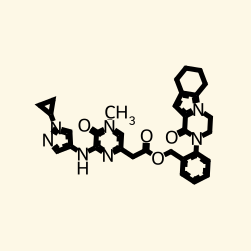 Cn1cc(CC(=O)OCc2ccccc2N2CCn3c(cc4c3CCCC4)C2=O)nc(Nc2cnn(C3CC3)c2)c1=O